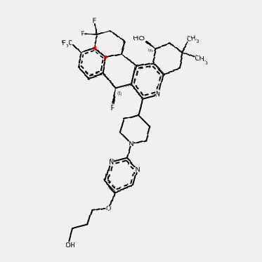 CC1(C)Cc2nc(C3CCN(c4ncc(OCCCO)cn4)CC3)c([C@@H](F)c3ccc(C(F)(F)F)cc3)c(C3CCC(F)(F)CC3)c2[C@@H](O)C1